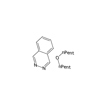 CCCCCOCCCCC.c1ccc2cnncc2c1